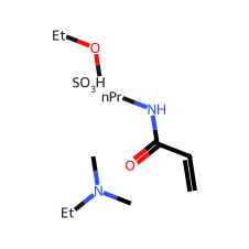 C=CC(=O)NCCC.CCN(C)C.CCOS(=O)(=O)O